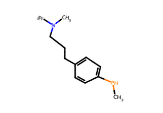 CPc1ccc(CCCN(C)C(C)C)cc1